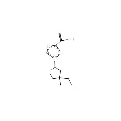 NC(=O)c1ncn(C2CC(F)(CO)CO2)n1